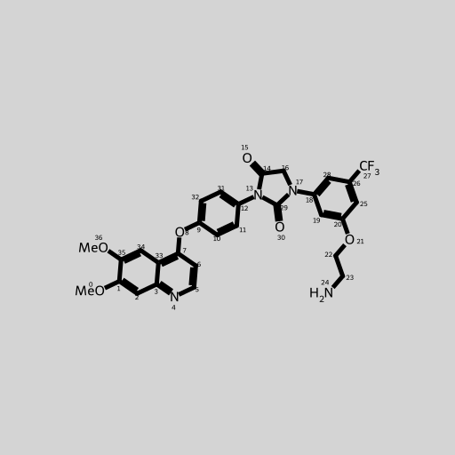 COc1cc2nccc(Oc3ccc(N4C(=O)CN(c5cc(OCCN)cc(C(F)(F)F)c5)C4=O)cc3)c2cc1OC